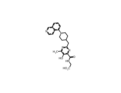 Cc1nc(CC2CCN(c3cccc4cnccc34)CC2)nc(C(=O)NCC(=O)O)c1O